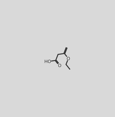 C=C(CC(=O)O)OCC